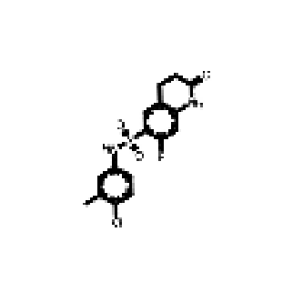 Cc1cc(NS(=O)(=O)c2cc3c(cc2F)NC(=O)CC3)ccc1Cl